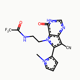 Cn1cccc1-c1c(C#N)c2nc[nH]c(=O)c2n1CCNC(=O)C(F)(F)F